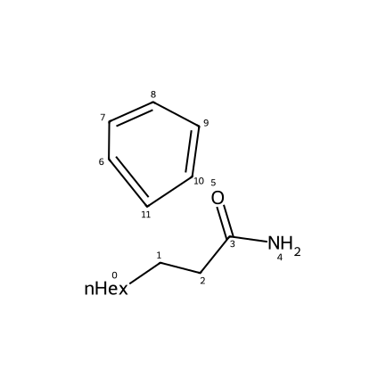 CCCCCCCCC(N)=O.c1ccccc1